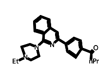 CCCC(=O)c1ccc(-c2cc3ccccc3c(N3CCN(CC)CC3)n2)cc1